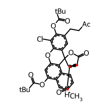 CC(=O)CCc1cc2c(c(Cl)c1OC(=O)C(C)(C)C)Oc1cc(OC(=O)C(C)(C)C)c3ccccc3c1C21OC(=O)c2ccc([PH](C)=O)cc21